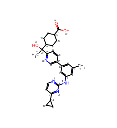 Cc1cc(Nc2nccc(C3CC3)n2)cc(-c2ccc([C@](C)(O)C3CCC(C(=O)O)CC3)nc2)c1